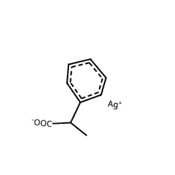 CC(C(=O)[O-])c1ccccc1.[Ag+]